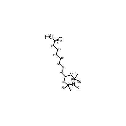 CN1C(C)(C)CC(CCCCCCCC(=O)O)CC1(C)C